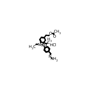 CCNC1=CC=C(CCOC(C)=O)CC1(CC)Nc1ccc(C=NN)cc1.Cl